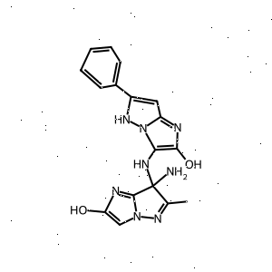 CC1=Nn2cc(O)nc2C1(N)Nc1c(O)nc2cc(-c3ccccc3)[nH]n12